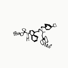 COC(=O)C[C@H](C)N(Cc1ccc(Cl)cc1)c1ccc(NC(=O)OC(C)(C)C)c2ccccc12